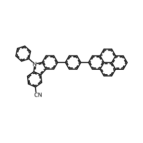 N#Cc1ccc2c(c1)c1cc(-c3ccc(-c4cc5ccc6cccc7ccc(c4)c5c67)cc3)ccc1n2-c1ccccc1